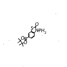 CC1(C)OB(c2ccc3c(c2)sc(=O)n3P)OC1(C)C